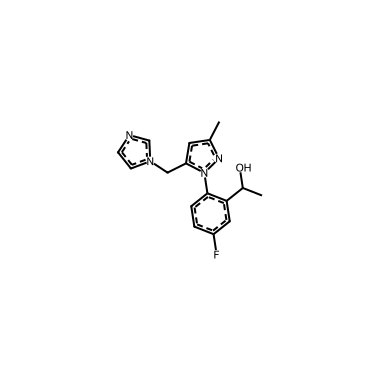 Cc1cc(Cn2ccnc2)n(-c2ccc(F)cc2C(C)O)n1